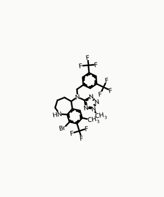 Cc1cc2c(c(Br)c1C(F)(F)F)NCCCC2N(Cc1cc(C(F)(F)F)cc(C(F)(F)F)c1)c1nnn(C)n1